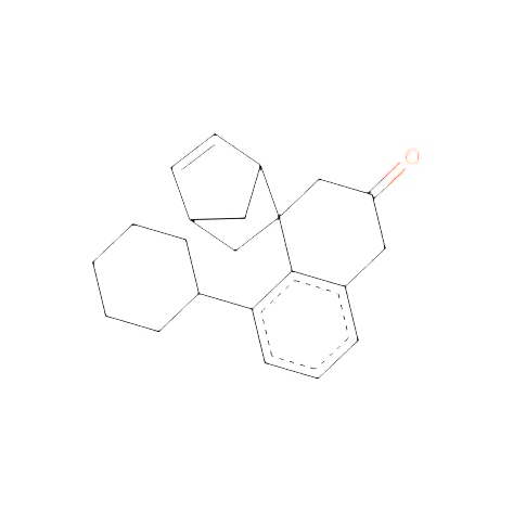 O=C1Cc2cccc(C3CCCCC3)c2C2(C1)CC1C=CC2C1